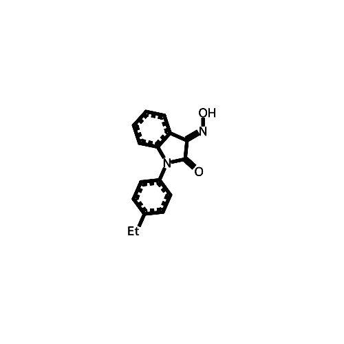 CCc1ccc(N2C(=O)/C(=N/O)c3ccccc32)cc1